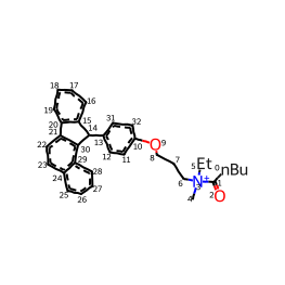 CCCCC(=O)[N+](C)(CC)CCCOc1ccc(C2c3ccccc3-c3ccc4ccccc4c32)cc1